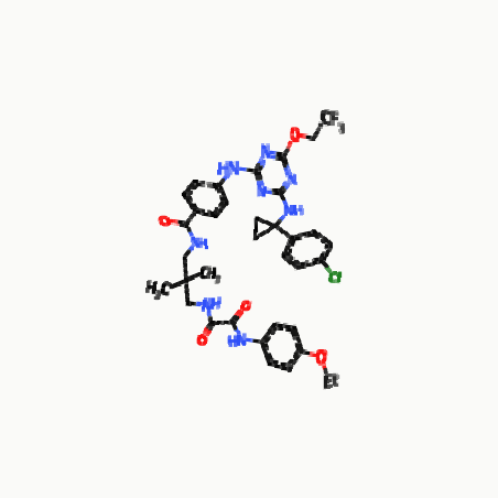 CCOc1ccc(NC(=O)C(=O)NCC(C)(C)CNC(=O)c2ccc(Nc3nc(NC4(c5ccc(Cl)cc5)CC4)nc(OCC(F)(F)F)n3)cc2)cc1